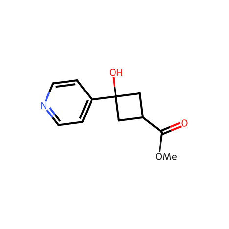 COC(=O)C1CC(O)(c2ccncc2)C1